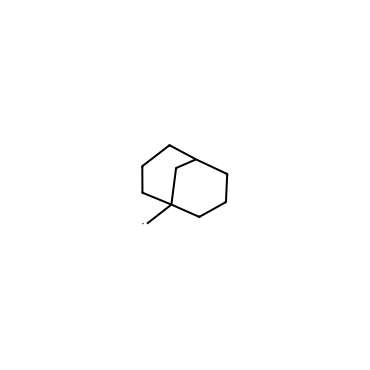 [CH2]C12CCCC(CCC1)C2